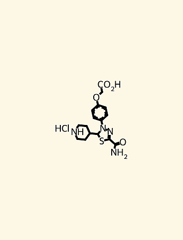 Cl.NC(=O)C1=NN(c2ccc(OCC(=O)O)cc2)C(C2CCNCC2)S1